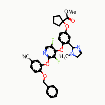 COC(=O)C1(Oc2ccc(Oc3c(F)cnc(Oc4cc(C#N)ccc4OCc4ccccc4)c3F)c(C3N=CCN3C)c2)CCCC1